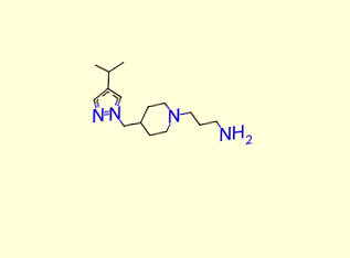 CC(C)c1cnn(CC2CCN(CCCN)CC2)c1